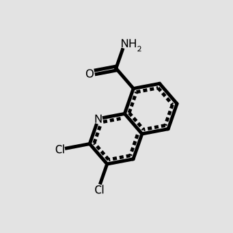 NC(=O)c1cccc2cc(Cl)c(Cl)nc12